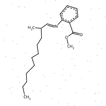 CCCCCCCCCC(C)/C=N/c1ccccc1C(=O)OC